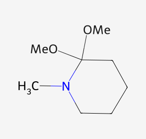 COC1(OC)CCCCN1C